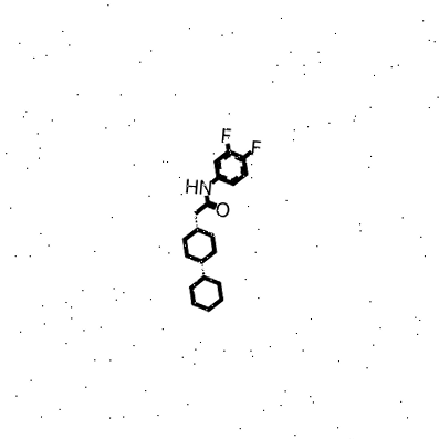 O=C(C[C@H]1CC[C@@H](C2CCCCC2)CC1)Nc1ccc(F)c(F)c1